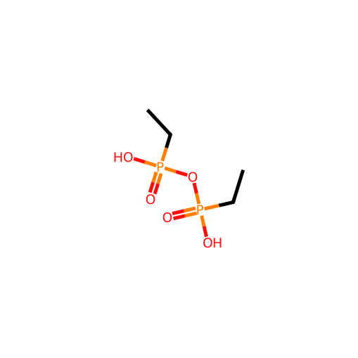 CCP(=O)(O)OP(=O)(O)CC